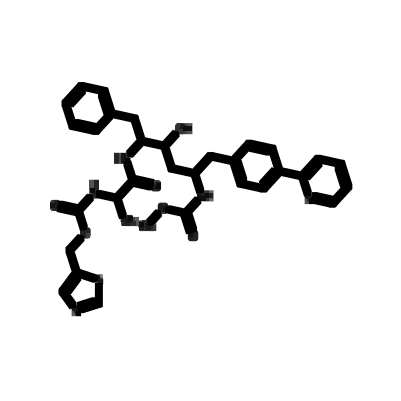 CC(C)(C)OC(=O)NC(Cc1ccc(-c2ccccn2)cc1)CC(O)C(Cc1ccccc1)NC(=O)C(NC(=O)OCc1cncs1)C(C)(C)C